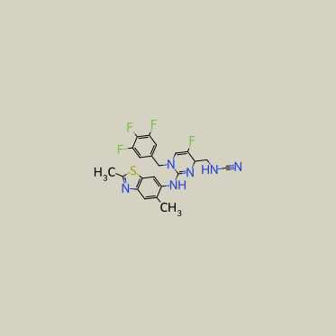 Cc1nc2cc(C)c(NC3=NC(CNC#N)C(F)=CN3Cc3cc(F)c(F)c(F)c3)cc2s1